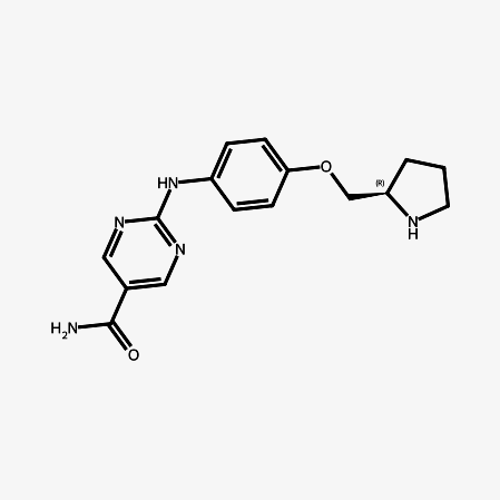 NC(=O)c1cnc(Nc2ccc(OC[C@H]3CCCN3)cc2)nc1